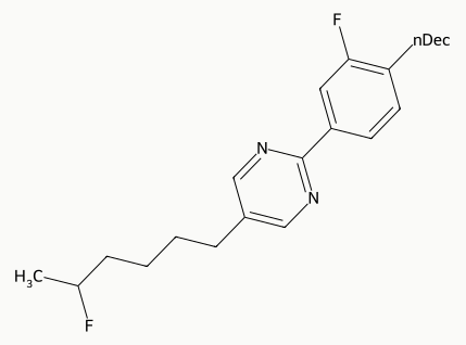 CCCCCCCCCCc1ccc(-c2ncc(CCCCC(C)F)cn2)cc1F